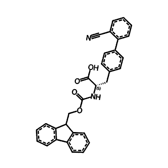 N#Cc1ccccc1-c1ccc(C[C@H](NC(=O)OCC2c3ccccc3-c3ccccc32)C(=O)O)cc1